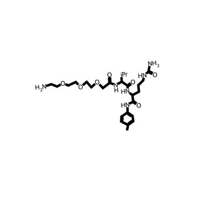 Cc1ccc(NC(=O)C(CCCNC(N)=O)NC(=O)C(NC(=O)COCCOCCOCCN)C(C)C)cc1